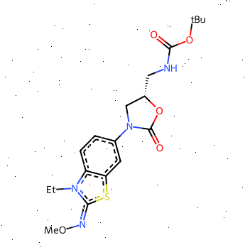 CCn1c(=NOC)sc2cc(N3C[C@H](CNC(=O)OC(C)(C)C)OC3=O)ccc21